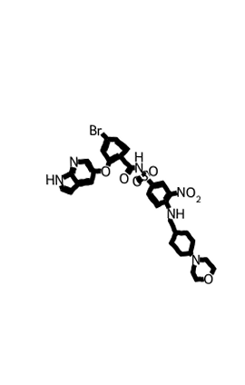 O=C(NS(=O)(=O)c1ccc(NCC2CCC(N3CCOCC3)CC2)c([N+](=O)[O-])c1)c1ccc(Br)cc1Oc1cnc2[nH]ccc2c1